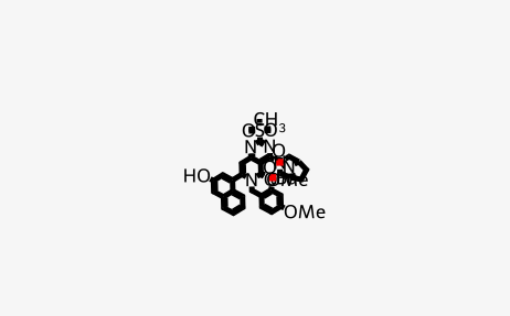 COc1ccc(Cn2c(-c3cc(O)cc4ccccc34)cc3nc(S(C)(=O)=O)nc(N4CC5CCC(C4)N5C(=O)OC(C)(C)C)c3c2=O)c(OC)c1